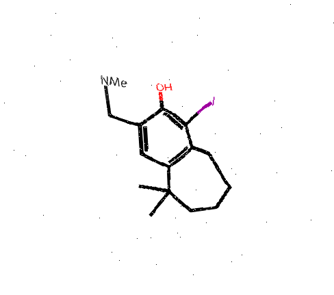 CNCc1cc2c(c(I)c1O)CCCCC2(C)C